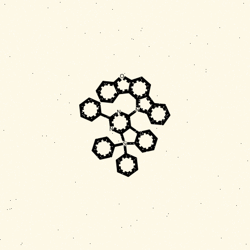 c1ccc(-c2nc(-n3c4ccccc4c4ccc5oc6ccccc6c5c43)c3c(n2)[Si](c2ccccc2)(c2ccccc2)c2ccccc2-3)cc1